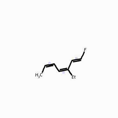 C\C=C/C=C(\C=C\F)CC